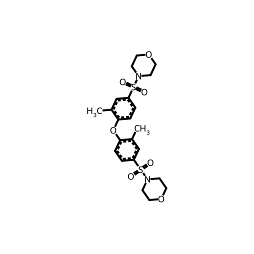 Cc1cc(S(=O)(=O)N2CCOCC2)ccc1Oc1ccc(S(=O)(=O)N2CCOCC2)cc1C